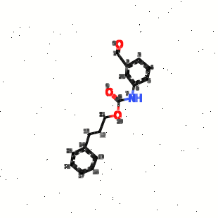 O=Cc1cccc(NC(=O)OCCCc2ccccc2)c1